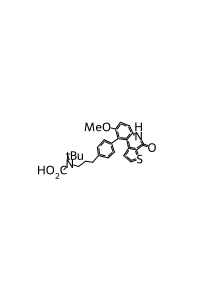 COc1ccc2[nH]c(=O)c3sccc3c2c1-c1ccc(CCCN(C(=O)O)C(C)(C)C)cc1